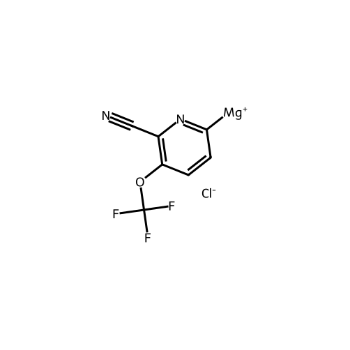 N#Cc1n[c]([Mg+])ccc1OC(F)(F)F.[Cl-]